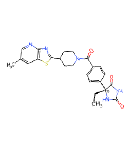 CC[C@]1(c2ccc(C(=O)N3CCC(c4nc5ncc(C)cc5s4)CC3)cc2)NC(=O)NC1=O